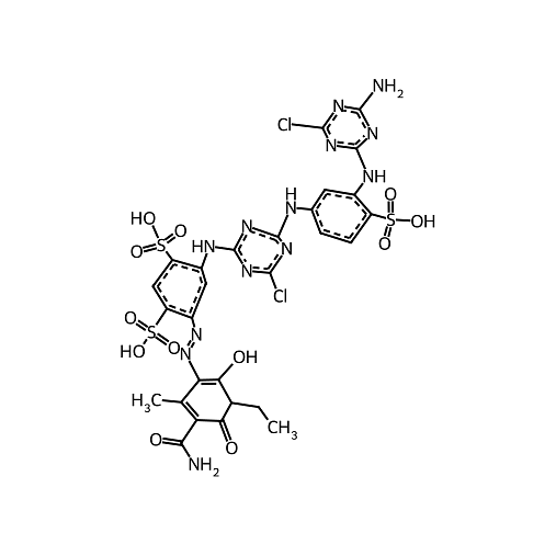 CCC1C(=O)C(C(N)=O)=C(C)C(N=Nc2cc(Nc3nc(Cl)nc(Nc4ccc(S(=O)(=O)O)c(Nc5nc(N)nc(Cl)n5)c4)n3)c(S(=O)(=O)O)cc2S(=O)(=O)O)=C1O